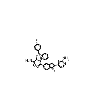 Cn1c(-c2ccnc(N)n2)cc2cc(C(=O)NC(CN(c3ccc(F)cc3)c3ccccn3)C(N)=O)ccc21